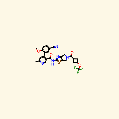 COc1ccc(C#N)cc1-c1cc(C)ncc1C(=O)Nc1nc2c(s1)CN(C(=O)C1CC(OC(F)(F)F)C1)C2